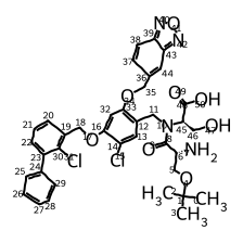 CC(C)(C)OC[C@@H](N)C(=O)N(Cc1cc(Cl)c(OCc2cccc(-c3ccccc3)c2Cl)cc1OCc1ccc2nonc2c1)[C@H](CO)C(=O)O